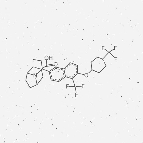 CCC(c1ccc2c(C(F)(F)F)c(OC3CCC(C(F)(F)F)CC3)ccc2c1)N1C2CCC1CC(C(=O)O)C2